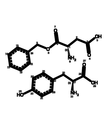 N[C@@H](CC(=O)O)C(=O)OCc1ccccc1.N[C@@H](Cc1ccc(O)cc1)C(=O)O